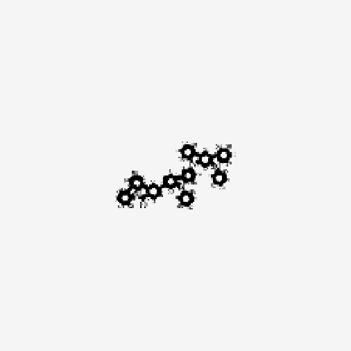 O=c1c2ccc(-c3ccc4c5cc(-n6c7ccccc7c7cc8c9ccccc9n(-c9ccccc9)c8cc76)ccc5n(-c5ccccc5)c4c3)cc2c2cccc3c4ccccc4n1c23